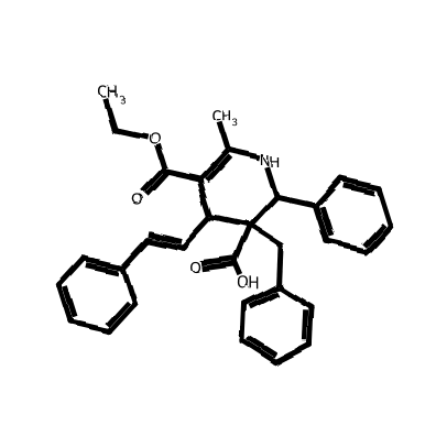 CCOC(=O)C1=C(C)NC(c2ccccc2)C(Cc2ccccc2)(C(=O)O)C1/C=C/c1ccccc1